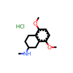 CNC1CCc2c(OC)ccc(OC)c2C1.Cl